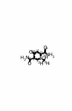 [2H]C([2H])([2H])n1cc(C(N)=O)c(=O)cc1C(N)=O